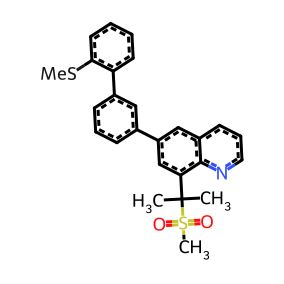 CSc1ccccc1-c1cccc(-c2cc(C(C)(C)S(C)(=O)=O)c3ncccc3c2)c1